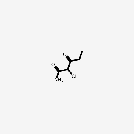 CCC(=O)C(O)C(N)=O